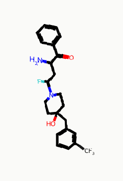 NC(CC(F)N1CCC(O)(Cc2cccc(C(F)(F)F)c2)CC1)C(=O)c1ccccc1